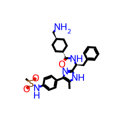 Cc1[nH]c([C@H](Cc2ccccc2)NC(=O)[C@H]2CC[C@H](CN)CC2)nc1-c1ccc(NS(C)(=O)=O)cc1